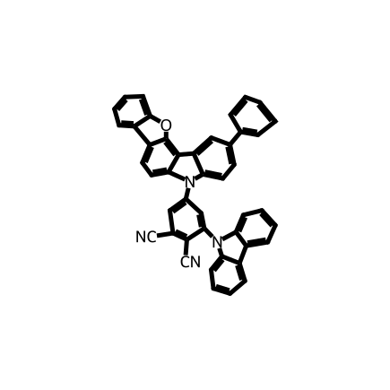 N#Cc1cc(-n2c3ccc(-c4ccccc4)cc3c3c4oc5ccccc5c4ccc32)cc(-n2c3ccccc3c3ccccc32)c1C#N